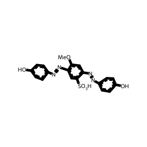 COc1cc(N=Nc2ccc(O)cc2)c(S(=O)(=O)O)cc1N=Nc1ccc(O)cc1